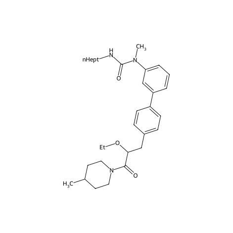 CCCCCCCNC(=O)N(C)c1cccc(-c2ccc(CC(OCC)C(=O)N3CCC(C)CC3)cc2)c1